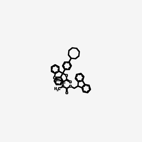 CC(C)[C@@H](C(=O)OC(c1ccccc1)(c1ccc(C2CCCCCCC2)cc1)c1ccccc1Cl)N(C)C(=O)OCC1c2ccccc2-c2ccccc21